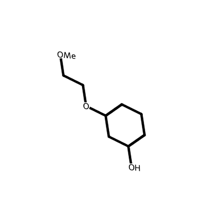 COCCOC1CCCC(O)C1